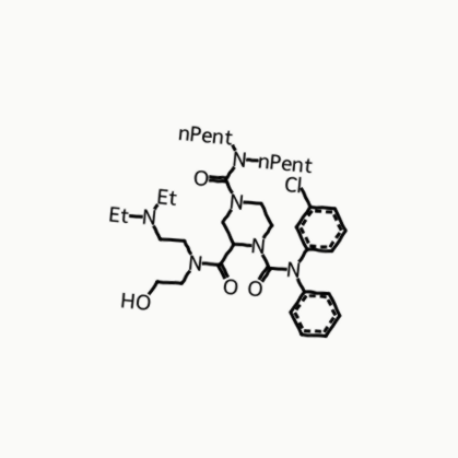 CCCCCN(CCCCC)C(=O)N1CCN(C(=O)N(c2ccccc2)c2cccc(Cl)c2)C(C(=O)N(CCO)CCN(CC)CC)C1